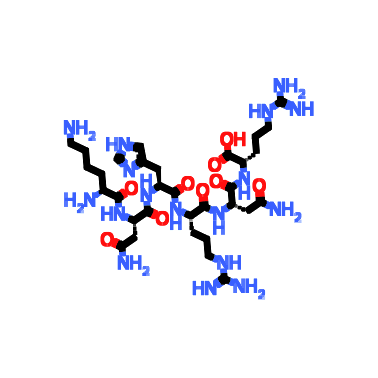 N=C(N)NCCC[C@H](NC(=O)[C@H](CC(N)=O)NC(=O)[C@H](CCCNC(=N)N)NC(=O)[C@H](Cc1c[nH]cn1)NC(=O)[C@H](CC(N)=O)NC(=O)[C@@H](N)CCCCN)C(=O)O